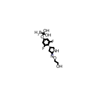 BC(O)(O)Oc1cc(F)c([C@@H]2CN/C(=N\OCCO)C2)c(F)c1